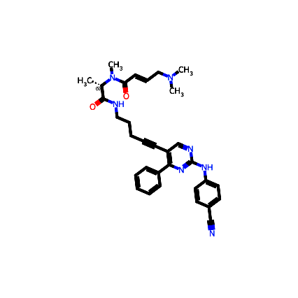 C[C@@H](C(=O)NCCCC#Cc1cnc(Nc2ccc(C#N)cc2)nc1-c1ccccc1)N(C)C(=O)C=CCN(C)C